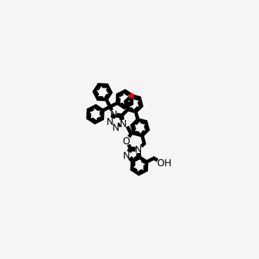 CCOc1nc2cccc(CO)c2n1Cc1ccc(-c2ccccc2-c2nnnn2C(c2ccccc2)(c2ccccc2)c2ccccc2)cc1